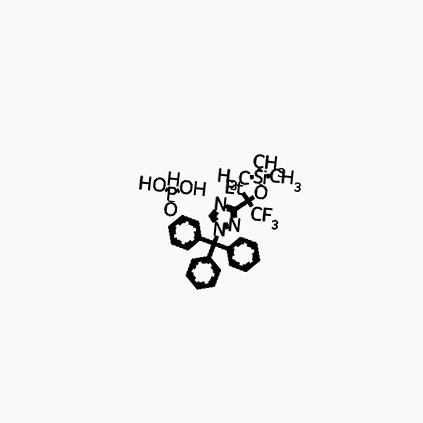 CCC(O[Si](C)(C)C)(c1ncn(C(c2ccccc2)(c2ccccc2)c2ccccc2)n1)C(F)(F)F.O=[PH](O)O